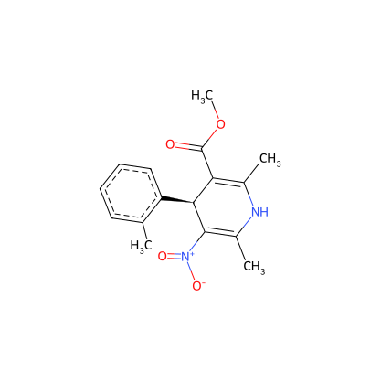 COC(=O)C1=C(C)NC(C)=C([N+](=O)[O-])[C@H]1c1ccccc1C